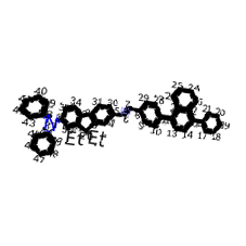 CCC1(CC)c2cc(/C=C/c3ccc(-c4ccc(-c5ccccc5)c5ccccc45)cc3)ccc2-c2ccc(N(c3ccccc3)c3ccccc3)cc21